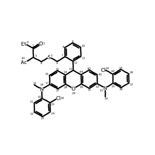 CCC(=O)C(CSCc1ccccc1C1c2ccc(N(C)c3ccccc3Cl)cc2Oc2cc(N(C)c3ccccc3Cl)ccc21)C(C)=O